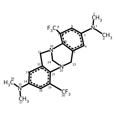 CN(C)c1cc2c(c(C(F)(F)F)c1)N1Cc3cc(N(C)C)cc(C(F)(F)F)c3N(C2)C1